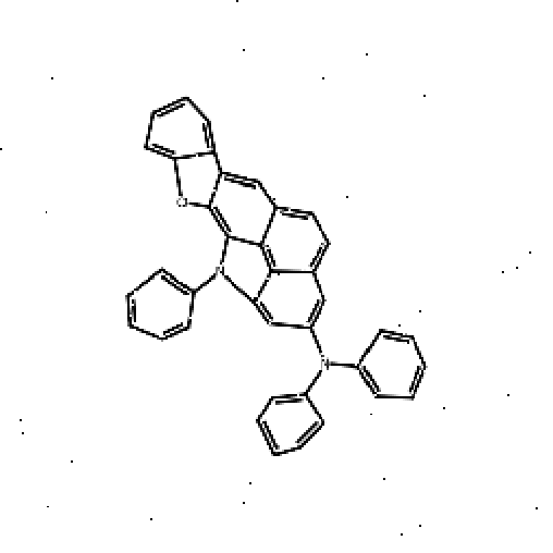 c1ccc(N(c2ccccc2)c2cc3ccc4cc5c6ccccc6oc5c5c4c3c(c2)n5-c2ccccc2)cc1